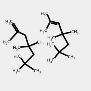 C=C(C)CC(C)(C)CC(C)(C)C.CC(C)=CC(C)(C)CC(C)(C)C